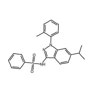 Cc1ccccc1-n1nc(NS(=O)(=O)c2ccccc2)c2ccc(C(C)C)cc21